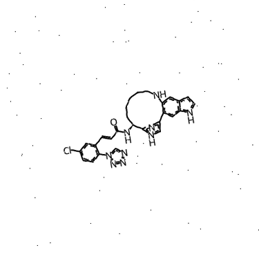 O=C(/C=C/c1cc(Cl)ccc1-n1cnnn1)N[C@H]1CCCCCNc2cc3cc[nH]c3cc2-c2c[nH]c1n2